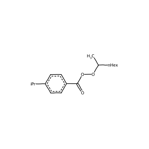 CCCCCC[C](C)OOC(=O)c1ccc(C(C)C)cc1